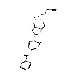 N#CCCO[PH]1(O)OC[C@H]2S[C@@H](n3ccc(NC(=O)c4ccccc4)nc3=O)[C@@H](F)[C@@H]2O1